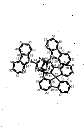 c1ccc2c(c1)-c1ccccc1C21c2ccccc2-c2cccc(-c3nc(-n4c5ccccc5c5cccnc54)nc(-n4c5ccccc5c5cccnc54)n3)c21